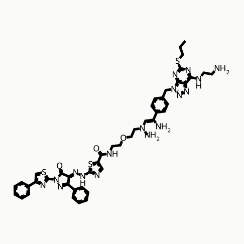 CCCSc1nc(NCCN)c2nnn(Cc3ccc(/C(N)=C/N(N)CCOCCNC(=O)c4cnc(N/N=C5/C(=O)N(c6nc(-c7ccccc7)cs6)N=C5c5ccccc5)s4)cc3)c2n1